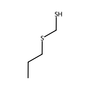 CCCSCS